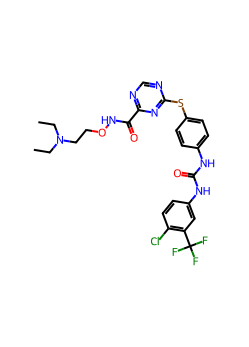 CCN(CC)CCONC(=O)c1ncnc(Sc2ccc(NC(=O)Nc3ccc(Cl)c(C(F)(F)F)c3)cc2)n1